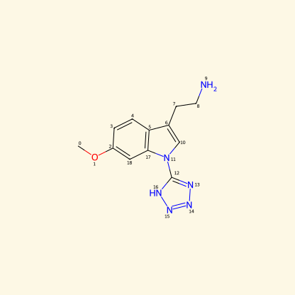 COc1ccc2c(CCN)cn(-c3nnn[nH]3)c2c1